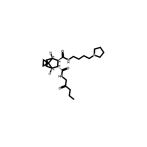 CCCC(=O)CNC(=O)[C@H]1[C@H](C(=O)NCCCCN2CCCC2)[C@H]2C=C[C@@H]1C21CC1